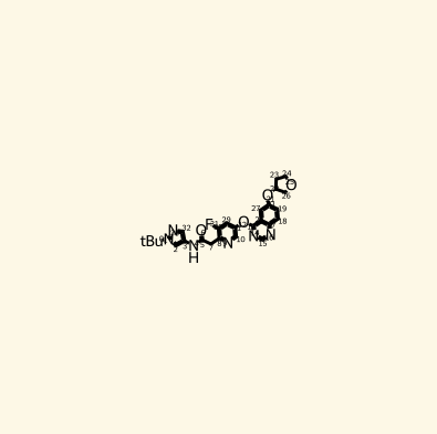 CC(C)(C)n1cc(NC(=O)Cc2ncc(Oc3ncnc4ccc(O[C@H]5CCOC5)cc34)cc2F)cn1